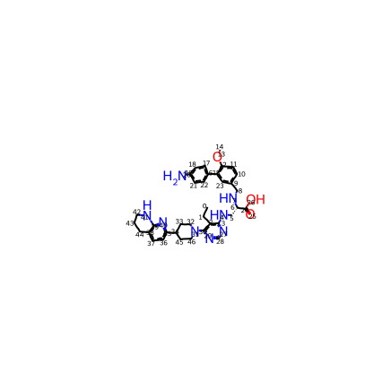 CCc1c(NC[C@H](NCc2ccc(OC)c(-c3ccc(N)cc3)c2)C(=O)O)ncnc1N1CCC(c2ccc3c(n2)NCCC3)CC1